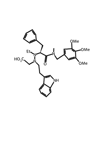 CCN([C@@H](Cc1ccccc1)C(=O)N(C)Cc1cc(OC)c(OC)c(OC)c1)N(CCc1c[nH]c2ccccc12)CC(=O)O